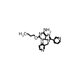 CCCCOC1=NC(N)=C2N=C(c3cccnc3)N(Cc3cccnc3)C2N1